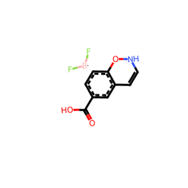 F[B]F.O=C(O)c1ccc2c(c1)C=CNO2